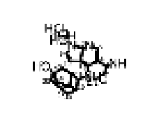 CCOC(=N)c1cnc2[nH]ccc2c1NC1C2CC3CC1CC(O)(C3)C2.Cl.Cl.Cl